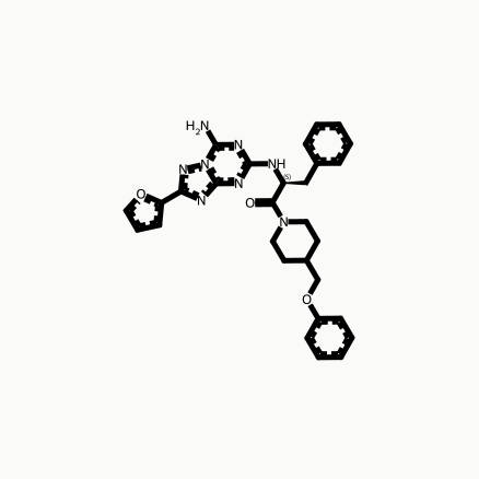 Nc1nc(N[C@@H](Cc2ccccc2)C(=O)N2CCC(COc3ccccc3)CC2)nc2nc(-c3ccco3)nn12